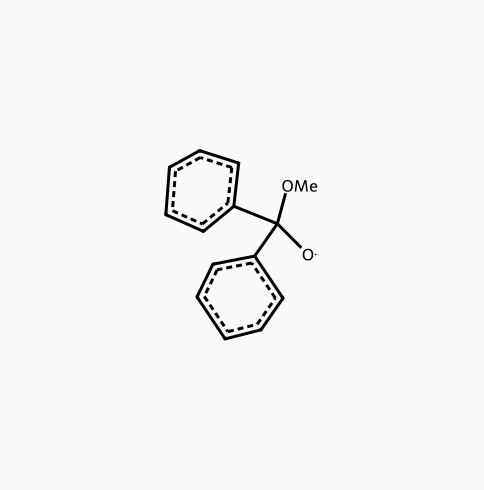 COC([O])(c1ccccc1)c1ccccc1